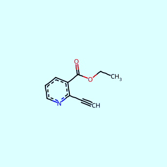 C#Cc1ncccc1C(=O)OCC